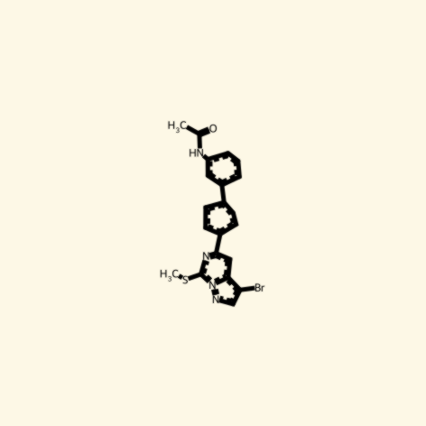 CSc1nc(-c2ccc(-c3cccc(NC(C)=O)c3)cc2)cc2c(Br)cnn12